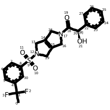 CC(F)(F)c1cccc(S(=O)(=O)N2CC3=C(CN(C(=O)[C@H](O)c4ccccc4)C3)C2)c1